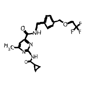 Cc1cc(C(=O)NCc2ccc(COCC(F)(F)F)cc2)nc(NC(=O)C2CC2)n1